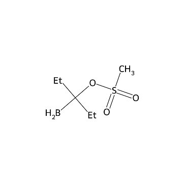 BC(CC)(CC)OS(C)(=O)=O